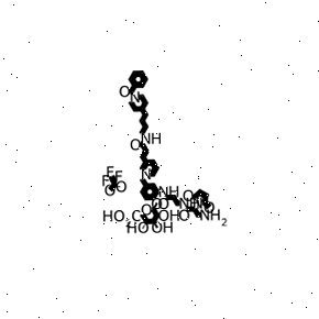 NCC(C(=O)NCCC(=O)Nc1cc(C[n+]2cccc(/C=C/C(=O)NCCCCC3CCN(C(=O)c4ccccc4)CC3)c2)ccc1O[C@@H]1O[C@H](C(=O)O)[C@@H](O)[C@H](O)[C@H]1O)N1C(=O)C=CC1=O.O=C([O-])C(F)(F)F